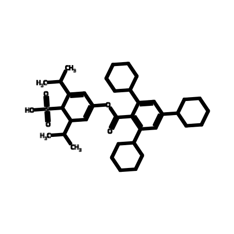 CC(C)C1=CC(OC(=O)c2c(C3CCCCC3)cc(C3CCCCC3)cc2C2CCCCC2)=CC(C(C)C)C1S(=O)(=O)O